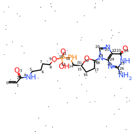 C=CC(=O)NCCCCOP(=O)(O)PC[C@@H]1CC[C@H](n2cnc3c(=O)[nH]c(N)nc32)O1